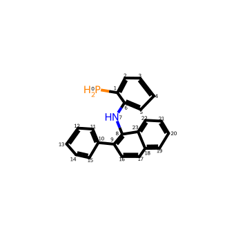 Pc1ccccc1Nc1c(-c2ccccc2)ccc2ccccc12